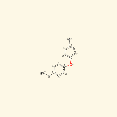 CC(=O)c1ccc(Oc2ccc(CC(C)C)cc2)cc1